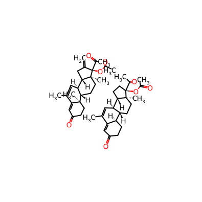 C=C1C[C@H]2[C@@H]3C=C(C)C4=CC(=O)CC[C@]4(C)[C@H]3CC[C@]2(C)[C@@]1(OC(C)=O)C(C)=O.CC(=O)O[C@]1(C(C)=O)CC[C@H]2[C@@H]3C=C(C)C4=CC(=O)CC[C@@H]4[C@H]3CC[C@@]21C